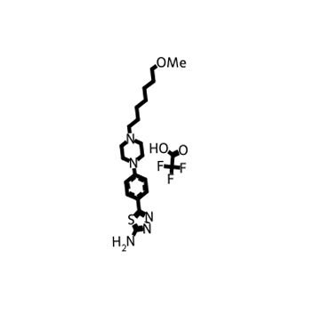 COCCCCCCCN1CCN(c2ccc(-c3nnc(N)s3)cc2)CC1.O=C(O)C(F)(F)F